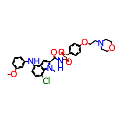 COc1cccc(Nc2ccc(Cl)c3c2cc(C(=O)NS(=O)(=O)c2ccc(OCCN4CCOCC4)cc2)n3C)c1